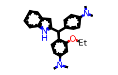 CCOc1cc(N(C)C)ccc1C(c1ccc(N(C)C)cc1)c1cc2ccccc2[nH]1